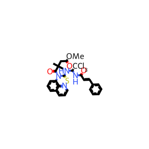 COC(=O)CC(C)(C)C(=O)N(C(=S)NC(NC(=O)/C=C/c1ccccc1)C(Cl)(Cl)Cl)c1cccc2cccnc12